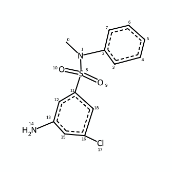 CN(c1ccccc1)S(=O)(=O)c1cc(N)cc(Cl)c1